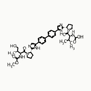 COC(=O)N[C@H](C(=O)N1CCC[C@H]1c1ncc(-c2ccc(-c3ccc(-c4cnc([C@@H]5CCCN5C(=O)[C@@H](NC(=O)O)C(C)C)[nH]4)cc3)cc2)[nH]1)[C@@H](C)CO